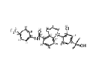 CC(C)(O)c1cnc(N2CCOc3c(C(=O)Nc4ccc(C(F)(F)F)cc4)cccc32)c(Cl)c1